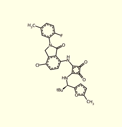 Cc1ccc(F)c(N2Cc3c(Cl)ccc(Nc4c(N[C@@H](c5ccc(C)o5)C(C)(C)C)c(=O)c4=O)c3C2=O)c1